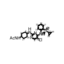 CC(=O)NC1CCC(Nc2ncc(Cl)c(Nc3ccccc3S(=O)(=O)C3CC3)n2)CC1